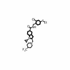 CCSc1ccc(CNC(=O)c2ccc3c(c2)cc(CN2CCC(C(F)(F)F)CC2)n3C2CC2)c(Cl)c1